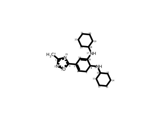 Cc1noc(C2=CCC(NC3CCCCC3)C(NC3CCCCC3)=C2)n1